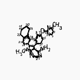 Cc1ccnc(Oc2ccc(-c3c(-c4ccc5c(c4)CCCC5)n(C)c4ncnc(N)c34)cc2)n1